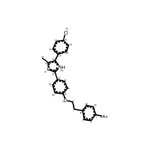 CC(=O)c1ccc(CCOc2ccc(-c3nc(C)c(-c4ccc(Cl)cc4)[nH]3)cc2)cc1